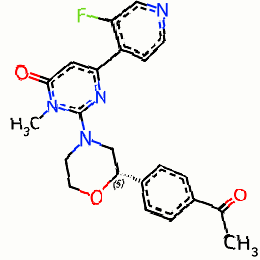 CC(=O)c1ccc([C@H]2CN(c3nc(-c4ccncc4F)cc(=O)n3C)CCO2)cc1